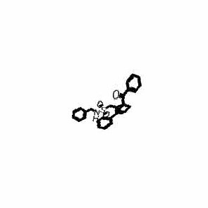 O=C(c1ccccc1)C12CC(C1)C(c1ccccc1)=C2CS(=O)(=O)NCc1ccccc1